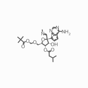 CN=C[C@@]1(c2ccc3c(N)ncnn23)O[C@H](COCOC(=O)C(C)(C)C)[C@@H](OC(=O)CC(C)C)[C@H]1O